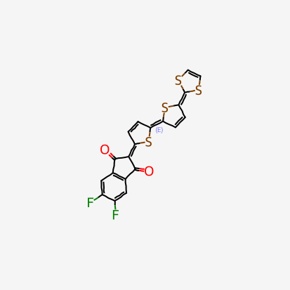 O=C1C(=c2cc/c(=c3/ccc(=C4SC=CS4)s3)s2)C(=O)c2cc(F)c(F)cc21